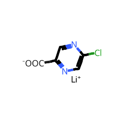 O=C([O-])c1cnc(Cl)cn1.[Li+]